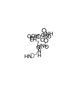 CC(=O)O.O=C(CNC(=O)c1ccc(S(=O)(=O)Nc2ccccc2Oc2ccc(Cl)cc2Cl)cc1)NCCC1CCNCC1